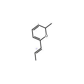 C/C=C/C1=CC=IC(C)O1